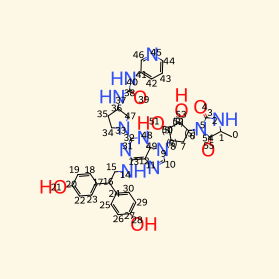 CC1NC(=O)N([C@H]2C[C@@H](n3cnc4c(NCC(c5ccc(O)cc5)c5ccc(O)cc5)nc(N5CCC(NC(=O)Nc6cccnc6)C5)nc43)[C@H](O)[C@@H]2O)C1=O